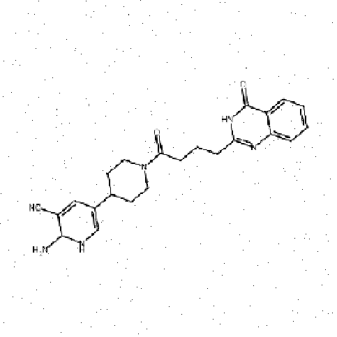 N#CC1=CC(C2CCN(C(=O)CCCc3nc4ccccc4c(=O)[nH]3)CC2)=CNC1N